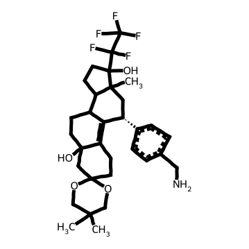 CC1(C)COC2(CCC3=C4C(CCC3(O)C2)C2CCC(O)(C(F)(F)C(F)(F)F)C2(C)C[C@@H]4c2ccc(CN)cc2)OC1